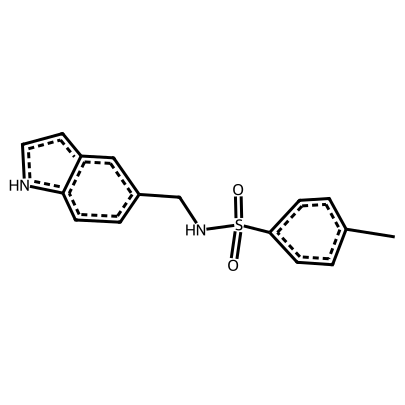 Cc1ccc(S(=O)(=O)NCc2ccc3[nH]ccc3c2)cc1